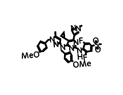 COc1ccc(CN(c2cc(C)n(Cc3ccc(OC)cc3)n2)c2nc(Nc3c(F)cc(S(C)(=O)=O)cc3F)nc(-c3cnn(C)c3)c2C2CC2)cc1